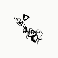 CN(C)c1cc(C(F)(F)F)ccc1C(=O)Nc1cnn(CCN(C(=O)O)c2ccccc2)c1